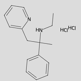 CCNC(C)(Cc1ccccn1)c1ccccc1.Cl.Cl